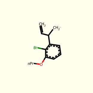 [CH2]C(C=C)c1cccc(OCCC)c1Br